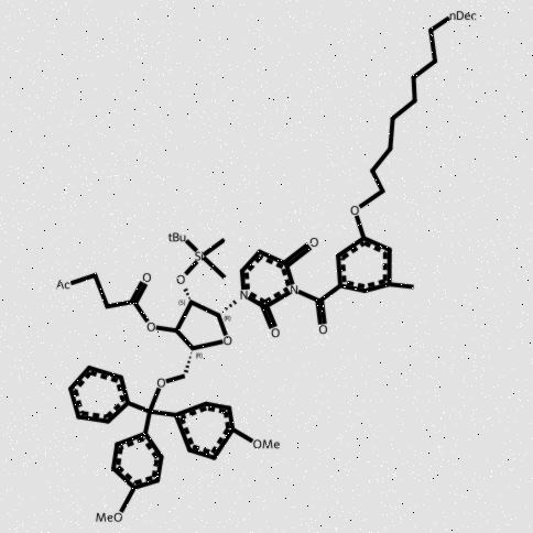 CCCCCCCCCCCCCCCCCCOc1cc(C)cc(C(=O)n2c(=O)ccn([C@@H]3O[C@H](COC(c4ccccc4)(c4ccc(OC)cc4)c4ccc(OC)cc4)C(OC(=O)CCC(C)=O)[C@@H]3O[Si](C)(C)C(C)(C)C)c2=O)c1